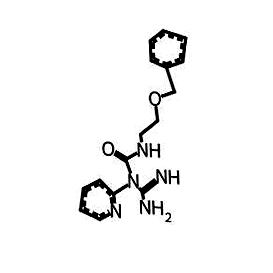 N=C(N)N(C(=O)NCCOCc1ccccc1)c1ccccn1